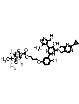 Cc1noc(C)c1-c1nc(-c2cc(OCCCOC(=O)N(C)O[Si](C)(C)C(C)(C)C)ccc2Cl)nc(N2Cc3cnc(C4CC4)nc3C2)c1C